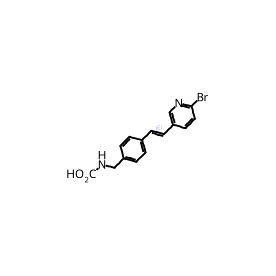 O=C(O)NCc1ccc(/C=C/c2ccc(Br)nc2)cc1